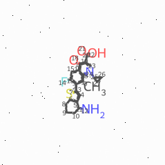 Cc1c(-c2cc3c(s2)CCCC3N)c(F)cc2c(=O)c(C(=O)O)cn(C3CC3)c12